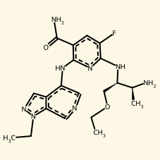 CCOC[C@@H](Nc1nc(Nc2cncc3c2cnn3CC)c(C(N)=O)cc1F)[C@H](C)N